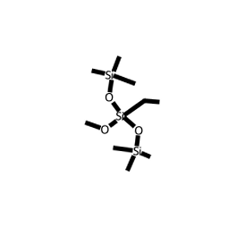 CC[Si](OC)(O[Si](C)(C)C)O[Si](C)(C)C